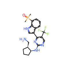 CP(C)(=O)c1cccc2c(-c3nc(N[C@H]4CCC[C@H]4CN)ncc3C(F)(F)F)c[nH]c12